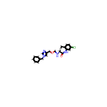 O=C1Nc2cc(Cl)ccc2CC[C@@H]1NCOCc1cn(Cc2ccccc2)cn1